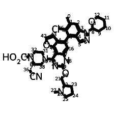 Cc1cc2c(cnn2C2CCCCO2)c(-c2cc3nc(OCC4CCCN4C)nc(N4CCN(C(=O)O)[C@@H](CC#N)C4)c3c3occc23)c1Cl